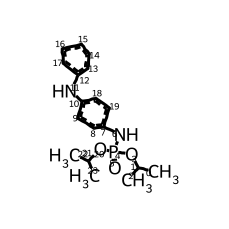 CC(C)OP(=O)(Nc1ccc(Nc2ccccc2)cc1)OC(C)C